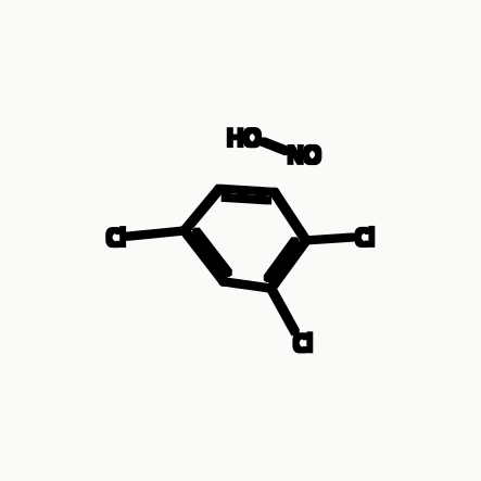 Clc1ccc(Cl)c(Cl)c1.O=NO